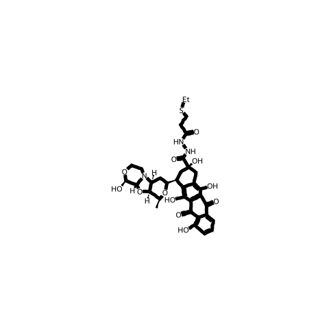 CCSCCC(=O)NNC(=O)[C@]1(O)Cc2c(O)c3c(c(O)c2[C@@H](C2C[C@H]4[C@H](O[C@@H]5[C@@H](O)OCCN54)[C@H](C)O2)C1)C(=O)c1c(O)cccc1C3=O